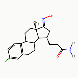 CCN(CC)C(=O)CC[C@@H]1C/C(=N\O)[C@@]2(C)CCC3c4ccc(Cl)cc4CCC3C12